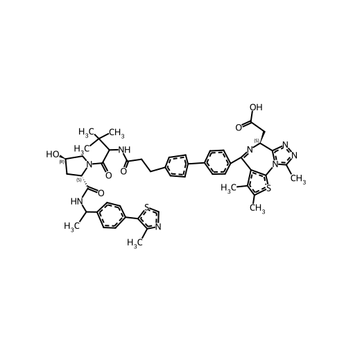 Cc1ncsc1-c1ccc(C(C)NC(=O)[C@@H]2C[C@@H](O)CN2C(=O)C(NC(=O)CCc2ccc(-c3ccc(C4=N[C@@H](CC(=O)O)c5nnc(C)n5-c5sc(C)c(C)c54)cc3)cc2)C(C)(C)C)cc1